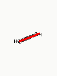 CCCCCNC(=O)CCOCCOCCOCCOCCOCCOCCOCCOCCOCCOCCC(=O)O